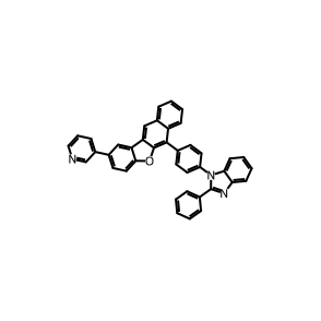 c1ccc(-c2nc3ccccc3n2-c2ccc(-c3c4ccccc4cc4c3oc3ccc(-c5cccnc5)cc34)cc2)cc1